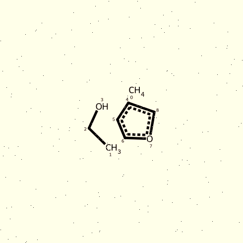 C.CCO.c1ccoc1